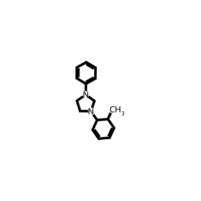 CC1C=CC=CC1N1CCN(c2ccccc2)C1